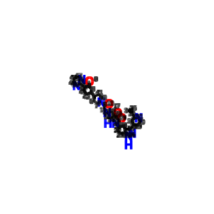 COc1cc(C2=CCN(C(=O)CN3CC[C@@](OC)(C(=O)Nc4ccc5[nH]nc(-c6ccnc(C7CC7)c6)c5c4)C3)CC2)ccc1-c1ncccn1